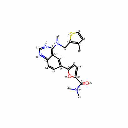 Cc1ccsc1CN(C)c1ncnc2ccc(-c3ccc(C(=O)N(C)C)o3)cc12